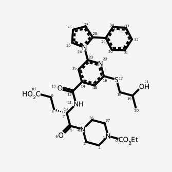 CCOC(=O)N1CCN(C(=O)[C@H](CCC(=O)O)NC(=O)c2cc(SCC(C)O)nc(-n3cccc3-c3ccccc3)c2)CC1